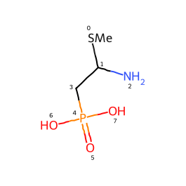 CSC(N)CP(=O)(O)O